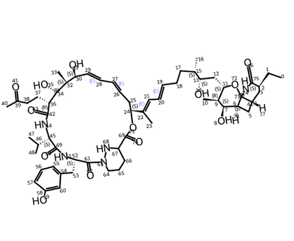 CC[C@H]1C[C@@H]2C[C@H]3[C@@H](O)[C@@H](C)[C@H](C[C@H](O)[C@@H](C)CC/C=C/C=C(\C)[C@@H]4C/C=C/C=C/[C@H](O)[C@H](C)[C@@H](O)[C@@H](CCC(C)=O)C(=O)N[C@@H](C(C)C)C(=O)N[C@@H](Cc5cccc(O)c5)C(=O)N5CCCC(N5)C(=O)O4)O[C@]23NC1=O